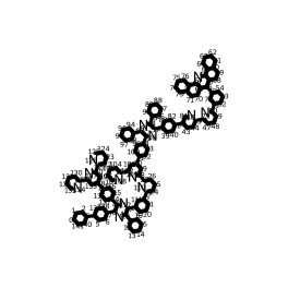 c1ccc(-c2ccc(-c3nc(-c4ccccc4)c(-c4cccc(-c5cccc(-c6cc(-c7ccc(-c8nc(-c9ccc(-c%10ccc(-c%11cccc(-c%12cccc(-c%13c%14ccc%15ccccc%15c%14nc%14c%13ccc%13ccccc%13%14)c%12)n%11)nc%10)cc9)c(-c9ccccc9)nc8-c8ccccc8)cc7)cc(-c7ccccn7)n6)n5)c4)nc3-c3ccc(-c4cc(-c5ccccn5)nc(-c5ccccn5)c4)cc3)cc2)cc1